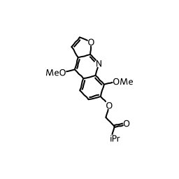 COc1c2ccoc2nc2c(OC)c(OCC(=O)C(C)C)ccc12